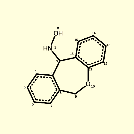 ONC1c2ccccc2COc2ccccc21